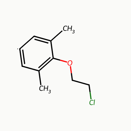 Cc1c[c]cc(C)c1OCCCl